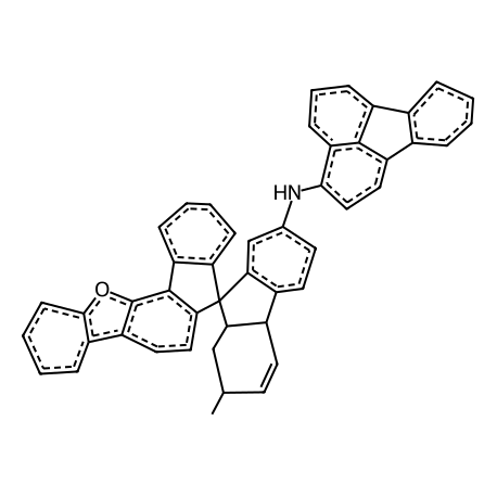 CC1C=CC2c3ccc(Nc4ccc5c6c(cccc46)-c4ccccc4-5)cc3C3(c4ccccc4-c4c3ccc3c4oc4ccccc43)C2C1